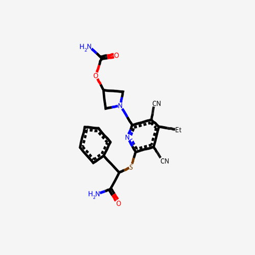 CCc1c(C#N)c(SC(C(N)=O)c2ccccc2)nc(N2CC(OC(N)=O)C2)c1C#N